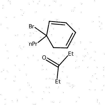 CCC(=O)CC.CCCC1(Br)C=CC=CC1